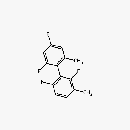 Cc1ccc(F)c(-c2c(C)cc(F)cc2F)c1F